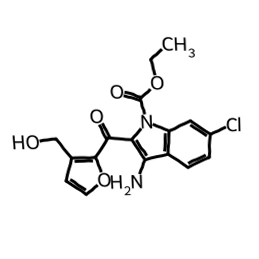 CCOC(=O)n1c(C(=O)c2occc2CO)c(N)c2ccc(Cl)cc21